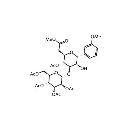 COC(=O)C[C@H]1O[C@H](c2cccc(OC)c2)[C@@H](O)[C@@H](O[C@H]2O[C@H](COC(C)=O)[C@@H](OC(C)=O)[C@H](OC(C)=O)[C@@H]2OC(C)=O)[C@@H]1OC(C)=O